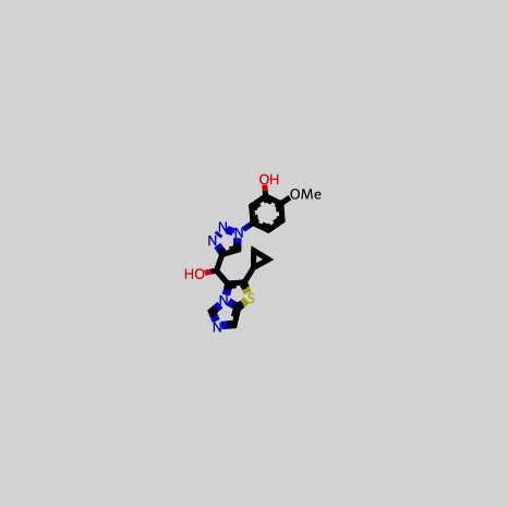 COc1ccc(-n2cc(C(O)c3c(C4CC4)sc4cncn34)nn2)cc1O